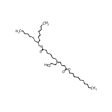 CCCCCCCCCCOC(=O)CCCN(CCO)CCCCCC(=O)OCC(CCCCCCC)CCCCCCC